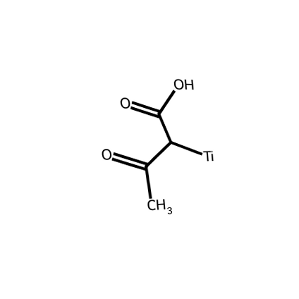 CC(=O)[CH]([Ti])C(=O)O